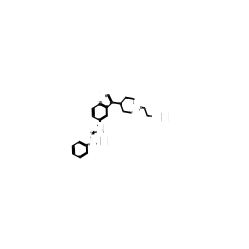 CCCN1CCC(c2coc3ccc(NC(=O)Nc4ccccc4)cc23)CC1